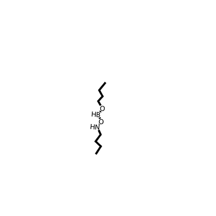 CCCCNOBOCCCC